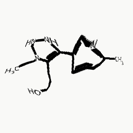 Cc1ccc(C2=C(CO)N(C)NN2)cn1